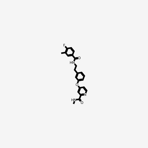 CNC(=O)c1cc(Oc2cccc(CCNC(=O)c3ccc(F)c(C)c3)c2)ccn1